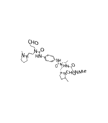 CNC(C)C(=O)NC(C)CN(CC[C@H]1CCC(C)N1C=O)C(=O)Nc1ccc(NC(=O)N(CCC=O)CC[C@H]2CCCN2C)cc1